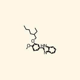 CCCCC(CC)COc1cc(-c2nc3ccccc3[nH]2)ccc1OC